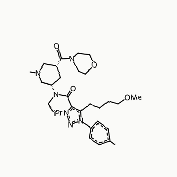 COCCCCc1c(C(=O)N(CC(C)C)[C@H]2C[C@@H](C(=O)N3CCOCC3)CN(C)C2)nnn1-c1ccc(C)cc1